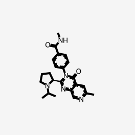 CNC(=O)c1ccc(-n2c([C@@H]3CCCN3C(C)C)nc3cnc(C)cc3c2=O)cc1